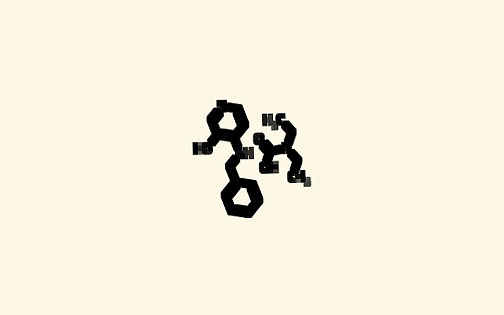 CCN(CC)C(=O)O.Oc1cnccc1NCc1ccccc1